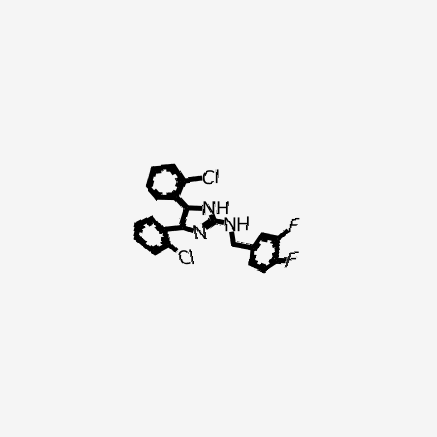 Fc1ccc(CNC2=NC(c3ccccc3Cl)C(c3ccccc3Cl)N2)cc1F